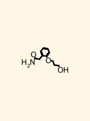 NC(=O)Cc1ccccc1OCCCO